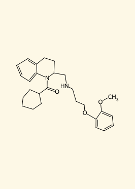 COc1ccccc1OCCCNCC1CCc2ccccc2N1C(=O)C1CCCCC1